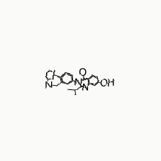 CC(C)c1nc2cc(O)ccc2c(=O)n1-c1ccc(Cl)c(CN(C)C)c1